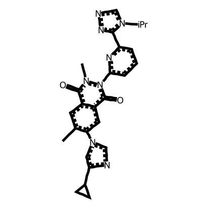 Cc1cc2c(=O)n(C)n(-c3cccc(-c4nncn4C(C)C)n3)c(=O)c2cc1-n1cnc(C2CC2)c1